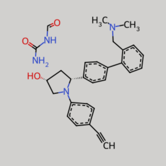 C#Cc1ccc(N2C[C@H](O)C[C@@H]2c2ccc(-c3ccccc3CN(C)C)cc2)cc1.NC(=O)NC=O